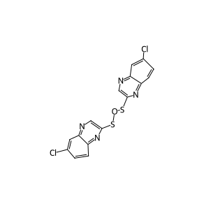 Clc1ccc2nc(SOSc3cnc4cc(Cl)ccc4n3)cnc2c1